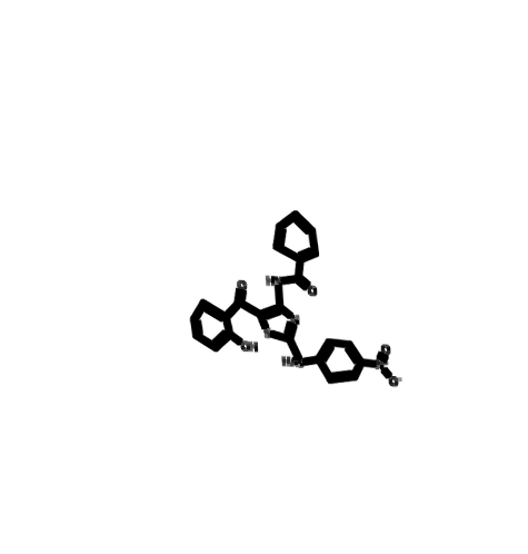 O=C(Nc1nc([AsH]c2ccc([N+](=O)[O-])cc2)sc1C(=O)c1ccccc1O)c1ccccc1